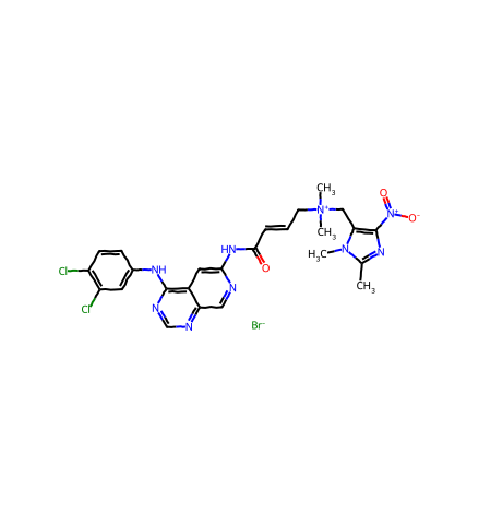 Cc1nc([N+](=O)[O-])c(C[N+](C)(C)C/C=C/C(=O)Nc2cc3c(Nc4ccc(Cl)c(Cl)c4)ncnc3cn2)n1C.[Br-]